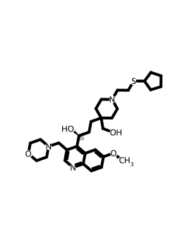 COc1ccc2ncc(CN3CCOCC3)c([C@@H](O)CCC3(CO)CCN(CCSC4CCCC4)CC3)c2c1